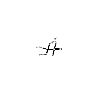 CCCCCCC(CCCCC)(CCCCCC)P(=O)([O-])[O-].[Ni+2]